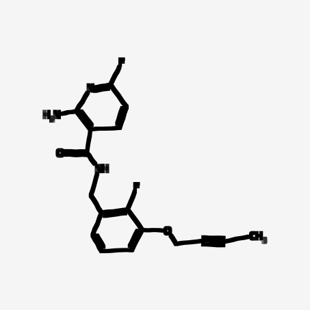 CC#CCOc1cccc(CNC(=O)c2ccc(F)nc2N)c1F